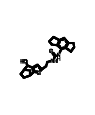 O=C(NCCc1cc2c(o1)C1CCC(C1)C2O)Nc1c2c(cc3c1CCC3)CCC2